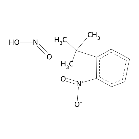 CC(C)(C)c1ccccc1[N+](=O)[O-].O=NO